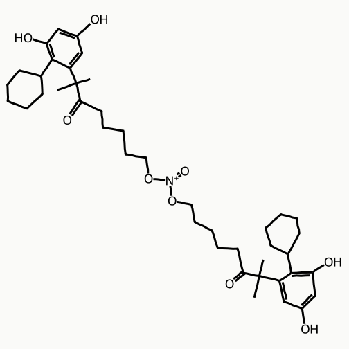 CC(C)(C(=O)CCCCCO[N+](=O)OCCCCCC(=O)C(C)(C)c1cc(O)cc(O)c1C1CCCCC1)c1cc(O)cc(O)c1C1CCCCC1